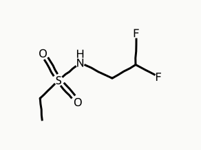 CCS(=O)(=O)NCC(F)F